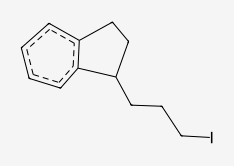 ICCCC1CCc2ccccc21